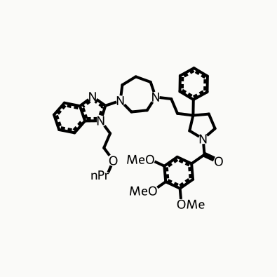 CCCOCCn1c(N2CCCN(CCC3(c4ccccc4)CCN(C(=O)c4cc(OC)c(OC)c(OC)c4)C3)CC2)nc2ccccc21